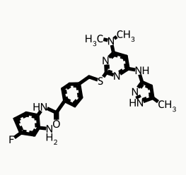 Cc1cc(Nc2cc(N(C)C)nc(SCc3ccc(C(=O)Nc4ccc(F)cc4N)cc3)n2)n[nH]1